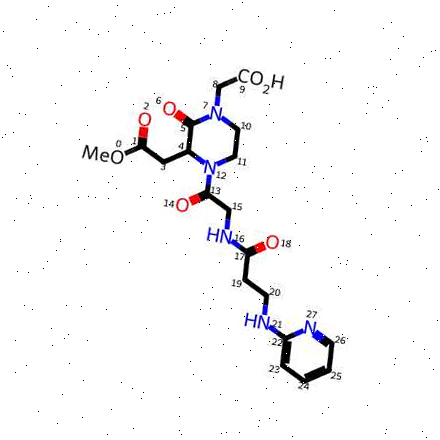 COC(=O)CC1C(=O)N(CC(=O)O)CCN1C(=O)CNC(=O)CCNc1ccccn1